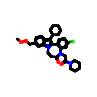 COOCc1ccc2c(C3CCCCC3)c3n(c2c1)CCC(=O)N(CC(=O)N1CCCCC1)c1cc(Cl)ccc1-3